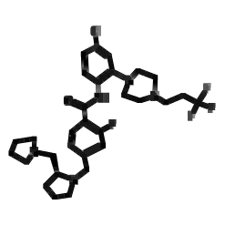 O=C(Nc1ccc(Cl)cc1N1CCN(CCC(F)(F)F)CC1)c1ccc(CN2CCC[C@H]2CN2CCCC2)cc1F